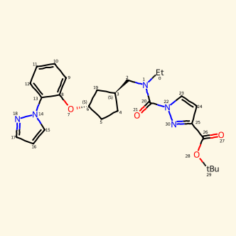 CCN(C[C@H]1CC[C@H](Oc2ccccc2-n2cccn2)C1)C(=O)n1ccc(C(=O)OC(C)(C)C)n1